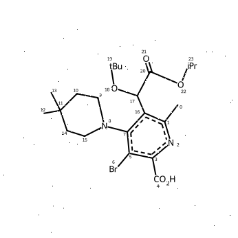 Cc1nc(C(=O)O)c(Br)c(N2CCC(C)(C)CC2)c1C(OC(C)(C)C)C(=O)OC(C)C